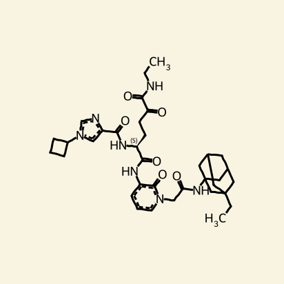 CCNC(=O)C(=O)CC[C@H](NC(=O)c1cn(C2CCC2)cn1)C(=O)Nc1cccn(CC(=O)NC23CC4CC(CC(CC)(C4)C2)C3)c1=O